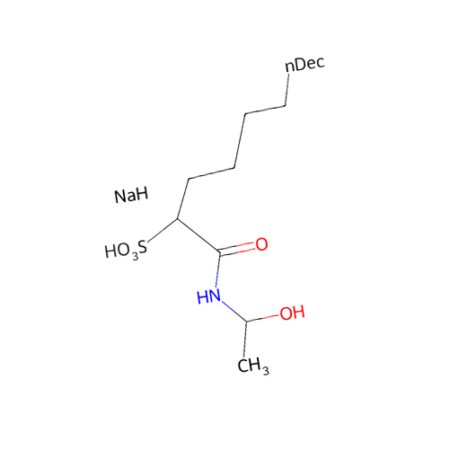 CCCCCCCCCCCCCCC(C(=O)NC(C)O)S(=O)(=O)O.[NaH]